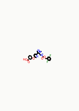 CN(Cc1c(-c2ccc(O[C@H]3CCC[C@H](C(=O)O)C3)cn2)cnn1C)C(=O)OCc1cc(F)ccc1F